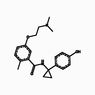 Cc1ccc(OCCN(C)C)cc1C(=O)NC1(c2ccc(O)cc2)CC1